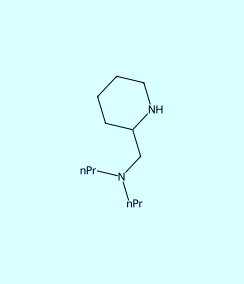 CCCN(CCC)CC1CCCCN1